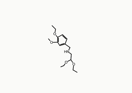 CCOc1ccc(CNCC(OCC)OCC)cc1OC